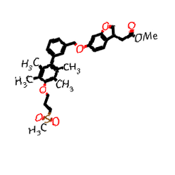 COC(=O)CC1COc2cc(OCc3cccc(-c4c(C)c(C)c(OCCCS(C)(=O)=O)c(C)c4C)c3)ccc21